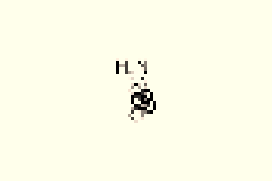 NCCCC(=O)OS(=O)(=O)c1ccccc1